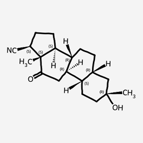 C[C@@]1(O)CC[C@H]2[C@H](CC[C@@H]3[C@@H]2CC(=O)[C@]2(C)[C@@H](C#N)CC[C@@H]32)C1